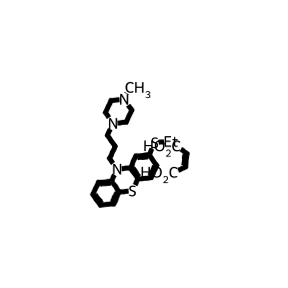 CCSc1ccc2c(c1)N(CCCN1CCN(C)CC1)c1ccccc1S2.O=C(O)/C=C\C(=O)O